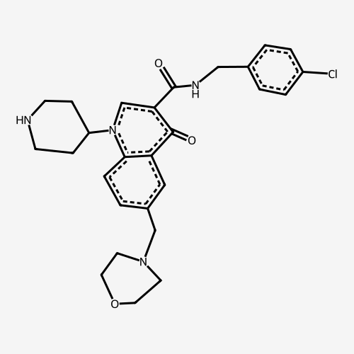 O=C(NCc1ccc(Cl)cc1)c1cn(C2CCNCC2)c2ccc(CN3CCOCC3)cc2c1=O